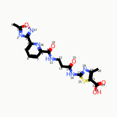 Cc1nc(-c2cccc(C(=O)NCCC(=O)Nc3nc(C)c(C(=O)O)s3)n2)no1